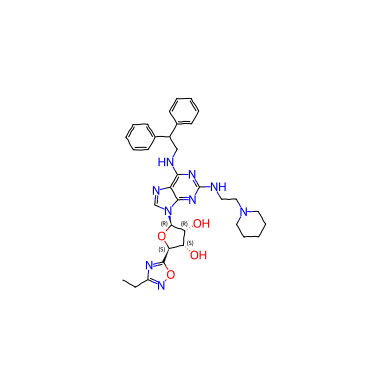 CCc1noc([C@H]2O[C@@H](n3cnc4c(NCC(c5ccccc5)c5ccccc5)nc(NCCN5CCCCC5)nc43)[C@H](O)[C@@H]2O)n1